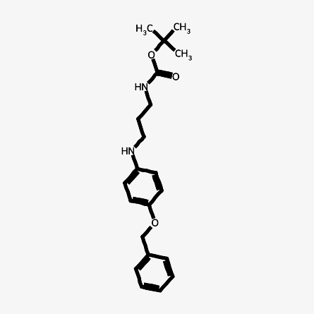 CC(C)(C)OC(=O)NCCCNc1ccc(OCc2ccccc2)cc1